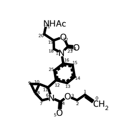 C=CCOC(=O)N1CC2CC2C1c1cccc(N2CC(CNC(C)=O)OC2=O)c1